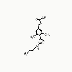 CCCCNc1nnc(-c2c(C)cc(CCC(=O)O)cc2C)s1